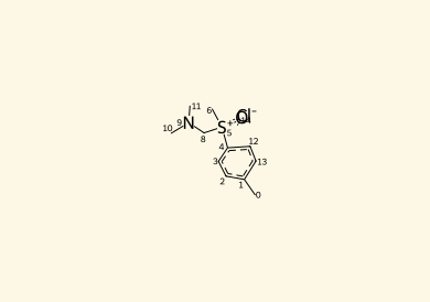 Cc1ccc([S+](C)(=O)CN(C)C)cc1.[Cl-]